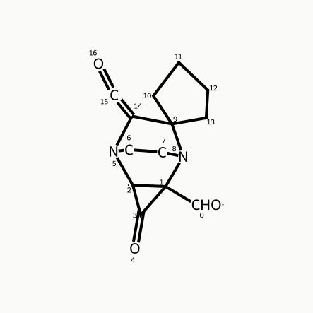 O=[C]C12[C](C1=O)N1CCN2C2(CCCC2)C1=C=O